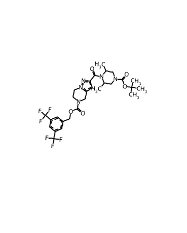 CC1CN(C(=O)OC(C)(C)C)CC(C)N1C(=O)c1cc2n(n1)CCN(C(=O)OCc1cc(C(F)(F)F)cc(C(F)(F)F)c1)C2